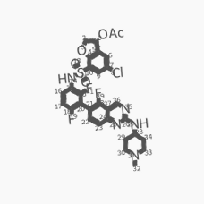 CC(=O)O[C@@H]1COc2c1cc(Cl)cc2S(=O)(=O)Nc1ccc(F)c(-c2ccc3nc(NC4CCN(C)CC4)ncc3c2F)c1F